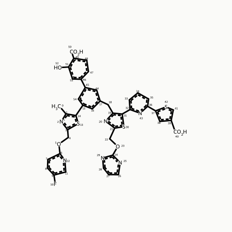 Cc1nc(COc2ccc(F)cn2)sc1-c1cc(Cc2nc(COc3ncccn3)sc2-c2cccc(-c3cc(C(=O)O)cs3)n2)cc(-c2ccc(C(=O)O)c(O)c2)c1